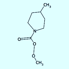 COOC(=O)N1CCC(C)CC1